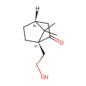 CC1(C)[C@@H]2CC[C@@]1(CSO)C(=O)C2